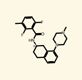 Cc1ccc(F)c(C(=O)N[C@@H]2CCc3cccc(N4CCN(C)CC4)c3C2)c1F